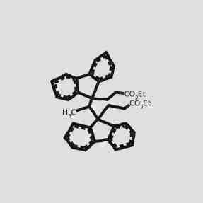 CCOC(=O)CCC1(C(C)C2(CCC(=O)OCC)c3ccccc3-c3ccccc32)c2ccccc2-c2ccccc21